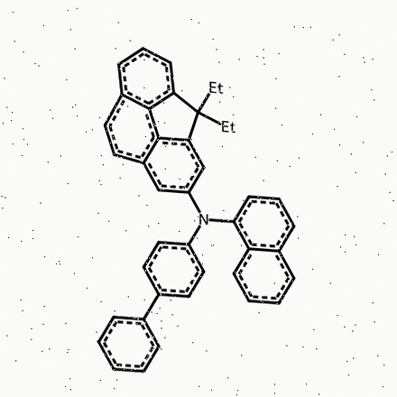 CCC1(CC)c2cccc3ccc4cc(N(c5ccc(-c6ccccc6)cc5)c5cccc6ccccc56)cc1c4c23